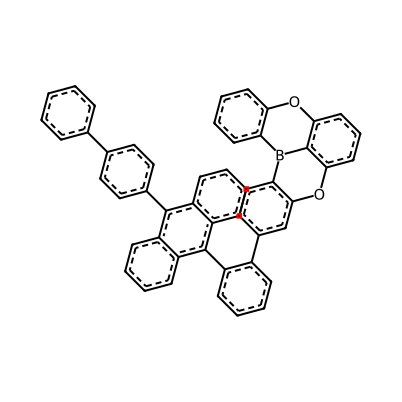 c1ccc(-c2ccc(-c3c4ccccc4c(-c4ccccc4-c4ccc5c(c4)Oc4cccc6c4B5c4ccccc4O6)c4ccccc34)cc2)cc1